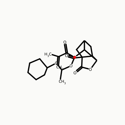 C=C(C)C(=O)OC1C2CC3C1OC(=O)C3(C(=O)OC(C)OC1CCCCC1)C2